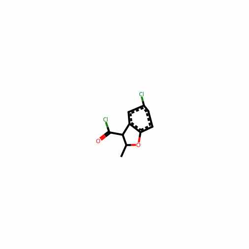 CC1Oc2ccc(Cl)cc2C1C(=O)Cl